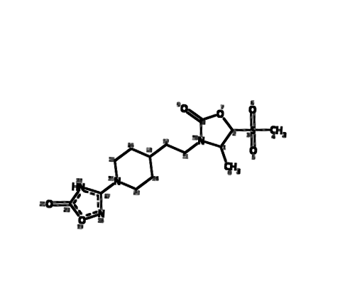 CC1C(S(C)(=O)=O)OC(=O)N1CCC1CCN(c2noc(=O)[nH]2)CC1